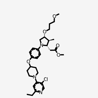 CCc1cc(N2CCC(Oc3ccc(N4C[C@H](OCCCOC)[C@@H](C)[C@@H]4CC(=O)OC)cc3)CC2)c(Cl)cn1